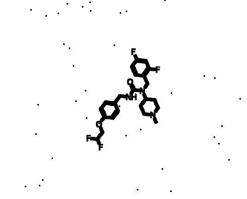 CN1CCC(N(Cc2ccc(F)cc2F)C(=O)NCc2ccc(OCC(F)F)cc2)CC1